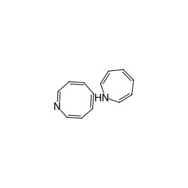 C1=CC=CN=CC=C1.C1=CC=CNC=C1